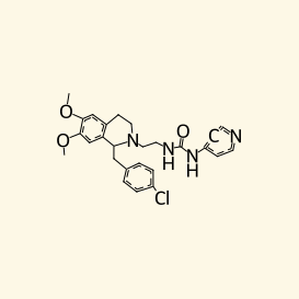 COc1cc2c(cc1OC)C(Cc1ccc(Cl)cc1)N(CCNC(=O)Nc1ccncc1)CC2